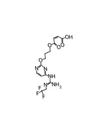 NC(=NCC(F)(F)F)Nc1ccnc(OCCCOC(=O)/C=C\C(=O)O)n1